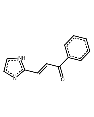 O=C(C=Cc1ncc[nH]1)c1ccccc1